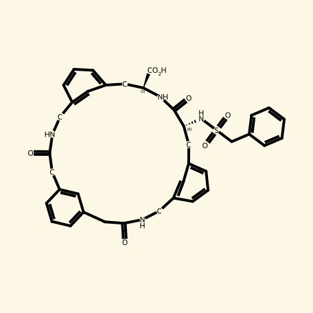 O=C1Cc2cccc(c2)CC(=O)NCc2cccc(c2)C[C@@H](NS(=O)(=O)Cc2ccccc2)C(=O)N[C@H](C(=O)O)Cc2cccc(c2)CN1